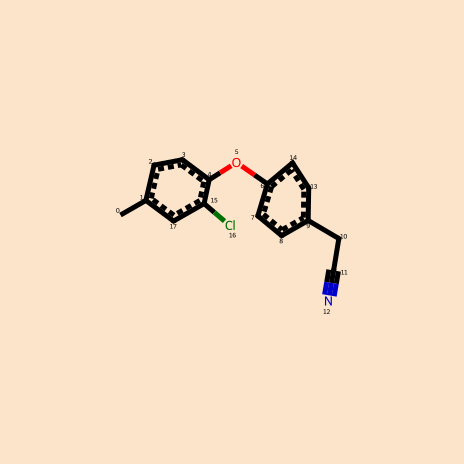 Cc1ccc(Oc2ccc(CC#N)cc2)c(Cl)c1